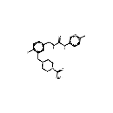 COC(=O)N1CCN(Cc2cc(CNC(=O)Nc3ccc(C)nc3)ccc2F)CC1